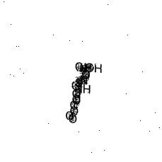 COC(=O)CCOCCOCCOCCOCCNC(=O)CSC(C)(C)CN(C)CCOc1cc(CO)nc(CO)c1